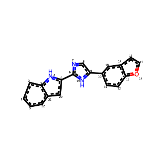 c1ccc2[nH]c(-c3ncc(-c4ccc5occc5c4)[nH]3)cc2c1